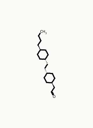 CCCC[C@H]1CC[C@H](CC[C@H]2CC[C@H](CC=O)CC2)CC1